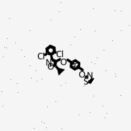 Clc1cccc(Cl)c1-c1noc(C2CC2)c1COCC12CCC(COc3nccs3)(CC1)CC2